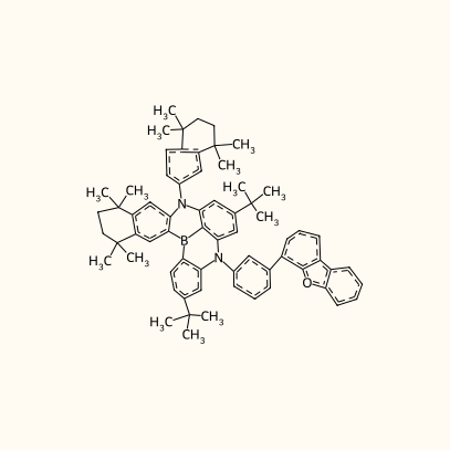 CC(C)(C)c1ccc2c(c1)N(c1cccc(-c3cccc4c3oc3ccccc34)c1)c1cc(C(C)(C)C)cc3c1B2c1cc2c(cc1N3c1ccc3c(c1)C(C)(C)CCC3(C)C)C(C)(C)CCC2(C)C